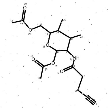 C#CCCC(=O)NC1C(OC(C)=O)OC(COC(C)=O)C(C)C1C